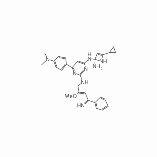 CO/C(=C\C(=N)c1ccccc1)CNc1nc(N[C@@]2(N)C=C(C3CC3)N2)cc(-c2ccc(N(C)C)cc2)n1